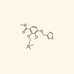 COC(=O)c1ccc(OCc2ccsc2)c(OC)c1OCC[Si](C)(C)C